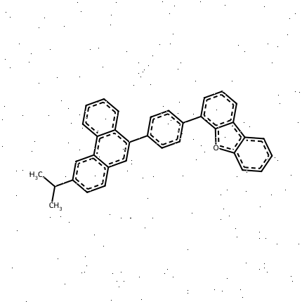 CC(C)c1ccc2cc(-c3ccc(-c4cccc5c4oc4ccccc45)cc3)c3ccccc3c2c1